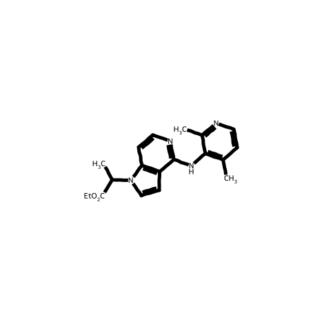 CCOC(=O)C(C)n1ccc2c(Nc3c(C)ccnc3C)nccc21